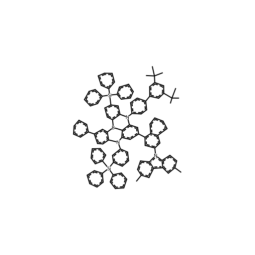 Cc1ccc2c(c1)c1cc(C)ccc1n2-c1cc(-c2cc3c4c(c2)N(c2ccc(-c5cc(C(C)(C)C)cc(C(C)(C)C)c5)cc2)c2cc([Si](c5ccccc5)(c5ccccc5)c5ccccc5)ccc2B4c2cc(-c4ccccc4)ccc2N3c2cccc([Si](c3ccccc3)(c3ccccc3)c3ccccc3)c2)c2ccccc2c1